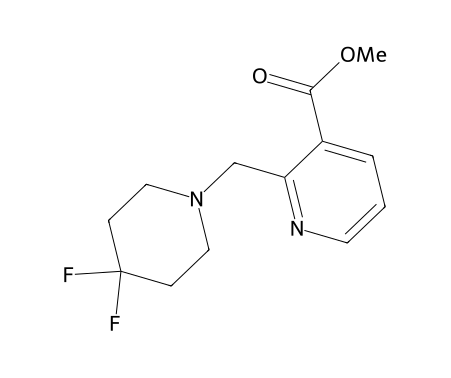 COC(=O)c1cccnc1CN1CCC(F)(F)CC1